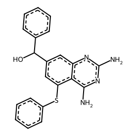 Nc1nc(N)c2c(Sc3ccccc3)cc(C(O)c3ccccc3)cc2n1